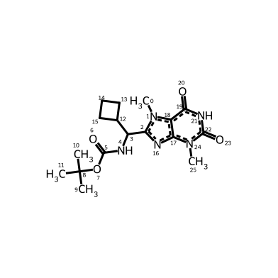 Cn1c(C(NC(=O)OC(C)(C)C)C2CCC2)nc2c1c(=O)[nH]c(=O)n2C